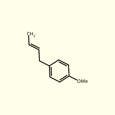 [CH2]C=CCc1ccc(OC)cc1